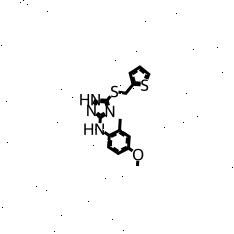 COc1ccc(Nc2n[nH]c(SCc3cccs3)n2)c(C)c1